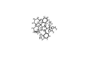 Cc1ccccc1N1C(C(C)(C)C)N2c3ccccc3C(C3CCCCC3)(C3CCCCC3)C2[C@@H]1C